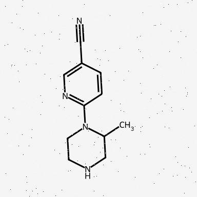 CC1CNCCN1c1ccc(C#N)cn1